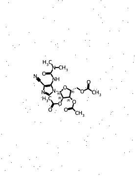 CC(=O)OC[C@H]1O[C@@H](n2cnc(C#N)c2NC(=O)N(C)C)[C@H](OC(C)=O)[C@@H]1OC(C)=O